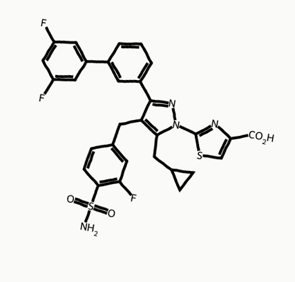 NS(=O)(=O)c1ccc(Cc2c(-c3cccc(-c4cc(F)cc(F)c4)c3)nn(-c3nc(C(=O)O)cs3)c2CC2CC2)cc1F